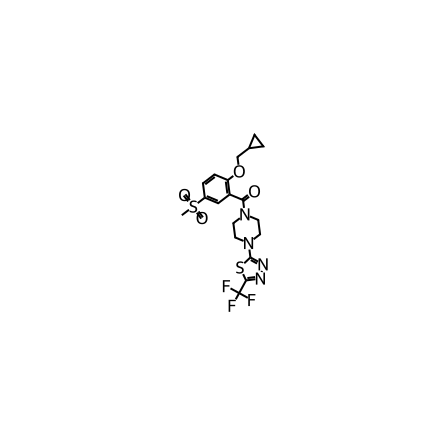 CS(=O)(=O)c1ccc(OCC2CC2)c(C(=O)N2CCN(c3nnc(C(F)(F)F)s3)CC2)c1